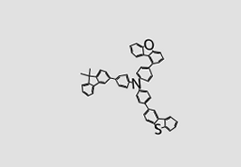 CC1(C)c2ccccc2-c2cc(-c3ccc(N(c4ccc(-c5ccc6sc7ccccc7c6c5)cc4)c4ccc(-c5cccc6oc7ccccc7c56)cc4)cc3)ccc21